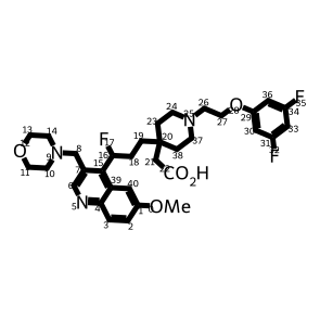 COc1ccc2ncc(CN3CCOCC3)c(C(F)CCC3(CC(=O)O)CCN(CCOc4cc(F)cc(F)c4)CC3)c2c1